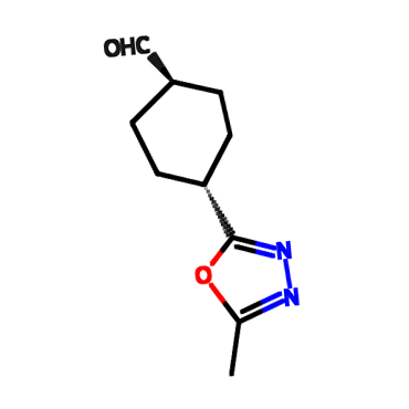 Cc1nnc([C@H]2CC[C@H](C=O)CC2)o1